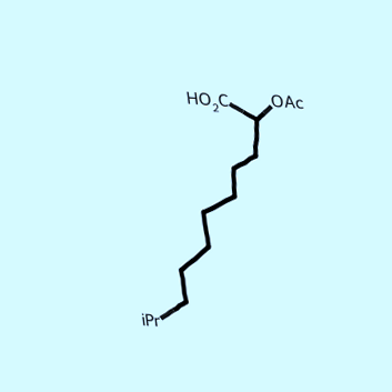 CC(=O)OC(CCCCCCCC(C)C)C(=O)O